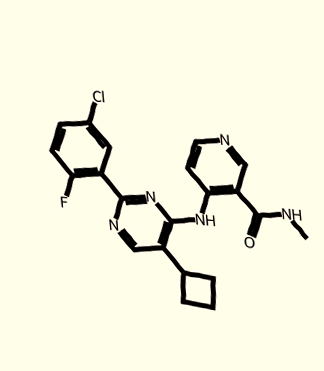 CNC(=O)c1cnccc1Nc1nc(-c2cc(Cl)ccc2F)ncc1C1CCC1